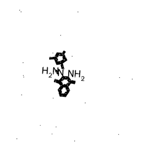 C=c1c(N)c(N(N)Cc2cc(C)cc(C)c2)c(=C)c2ccccc12